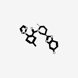 Cc1ccc(-n2nccn2)c(C(=O)N2C[C@H](c3nc4cc(Cl)ccc4o3)CC[C@H]2C)c1